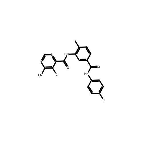 Cc1ccc(C(=O)Nc2ccc(Cl)cc2)cc1NC(=O)c1ncnc(N)c1Cl